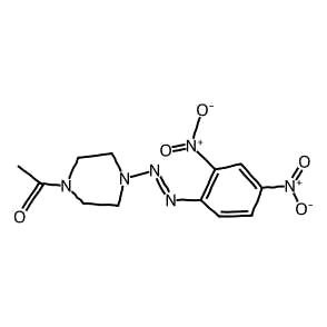 CC(=O)N1CCN(N=Nc2ccc([N+](=O)[O-])cc2[N+](=O)[O-])CC1